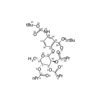 CCCC(=O)O[C@@H]1[C@H](OC(=O)CCC)[C@H](C)OC(Oc2ccc(NC(=O)OC(C)(C)C)cc2C(=O)OC(C)(C)C)[C@H]1OC(=O)CCC